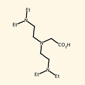 CCN(CC)CCN(CCN(CC)CC)CC(=O)O